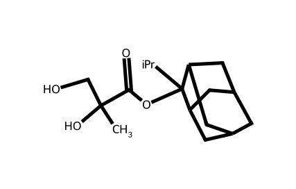 CC(C)C1(OC(=O)C(C)(O)CO)C2CC3CC(C2)CC1C3